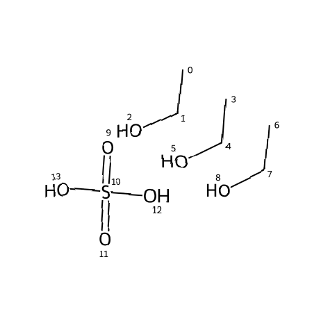 CCO.CCO.CCO.O=S(=O)(O)O